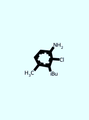 CCC(C)c1c(C)ccc(N)c1Cl